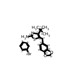 Brc1ccccc1.CC(C)(C)c1nc(N)sc1Cc1ccc2c(c1)OCO2